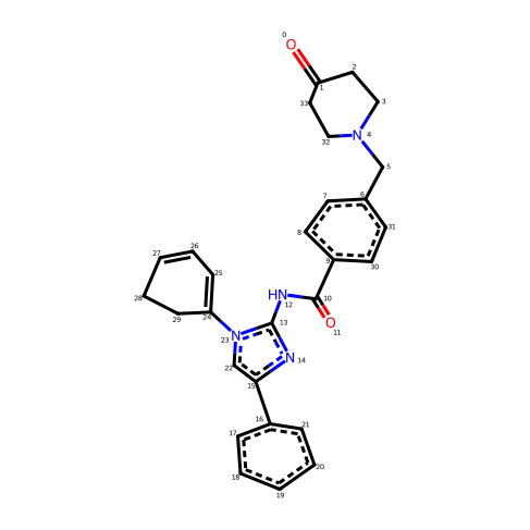 O=C1CCN(Cc2ccc(C(=O)Nc3nc(-c4ccccc4)cn3C3=CC=CCC3)cc2)CC1